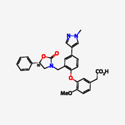 COc1ccc(CC(=O)O)cc1Oc1ccc(-c2cnn(C)c2)cc1CN1C[C@H](c2ccccc2)OC1=O